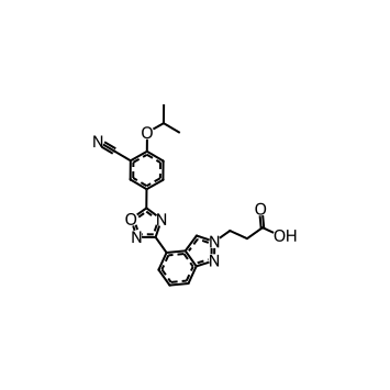 CC(C)Oc1ccc(-c2nc(-c3cccc4nn(CCC(=O)O)cc34)no2)cc1C#N